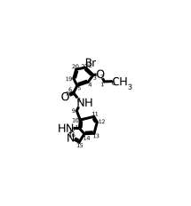 CCOc1cc(C(=O)NCc2cccc3cn[nH]c23)ccc1Br